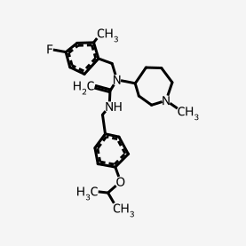 C=C(NCc1ccc(OC(C)C)cc1)N(Cc1ccc(F)cc1C)C1CCCN(C)CC1